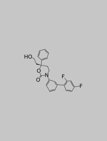 O=C1O[C@](CCO)(c2ccccc2)CCN1c1cccc(-c2ccc(F)cc2F)c1